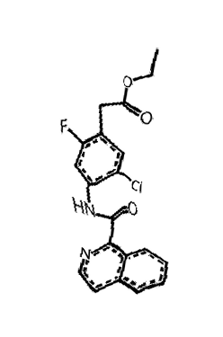 CCOC(=O)Cc1cc(Cl)c(NC(=O)c2nccc3ccccc23)cc1F